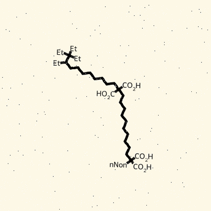 CCCCCCCCCC(CCCCCCCCCCC(CCCCCCCCC(CC)C(CC)(CC)CC)(C(=O)O)C(=O)O)(C(=O)O)C(=O)O